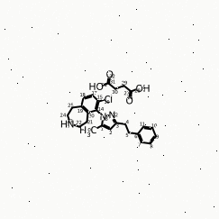 Cc1cc(CCc2ccccc2)nn1-c1c(Cl)ccc2c1CCNCC2.O=C(O)CCC(=O)O